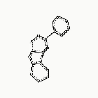 c1ccc(-c2cc3c(cn2)oc2ccccc23)cc1